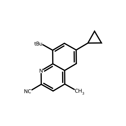 Cc1cc(C#N)nc2c(C(C)(C)C)cc(C3CC3)cc12